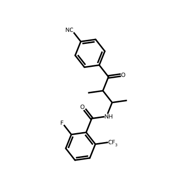 CC(NC(=O)c1c(F)cccc1C(F)(F)F)C(C)C(=O)c1ccc(C#N)cc1